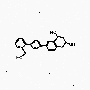 OCc1ccccc1-c1ccc(-c2ccc3c(c2)C(O)CC(O)C3)cc1